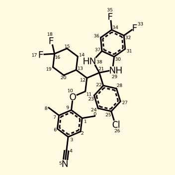 Cc1cc(C#N)cc(C)c1OCC(C1CCC(F)(F)CC1)C1(c2ccc(Cl)cc2)Nc2cc(F)c(F)cc2N1